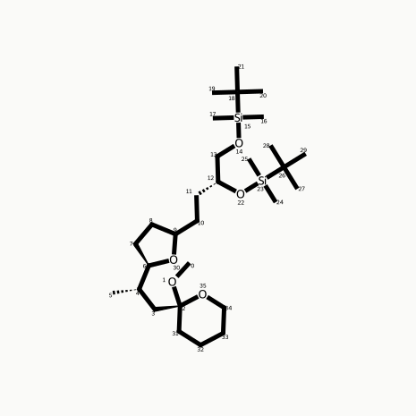 CO[C@@]1(C[C@H](C)[C@H]2CCC(CC[C@H](CO[Si](C)(C)C(C)(C)C)O[Si](C)(C)C(C)(C)C)O2)CCCCO1